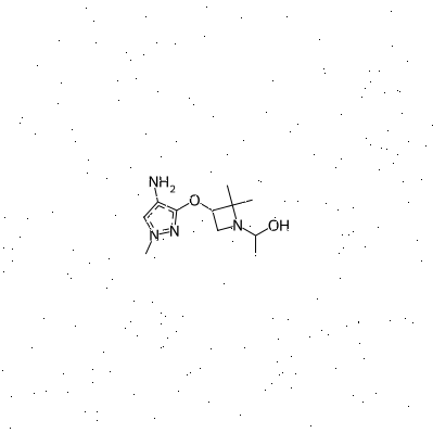 CC(O)N1CC(Oc2nn(C)cc2N)C1(C)C